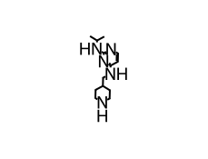 CC(C)Nc1nccc(NCC2CCNCC2)n1